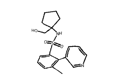 Cc1cccc(S(=O)(=O)NC2(CO)CCCC2)c1-c1cccnc1